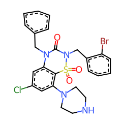 O=C1N(Cc2ccccc2)c2cc(Cl)cc(N3CCNCC3)c2S(=O)(=O)N1Cc1ccccc1Br